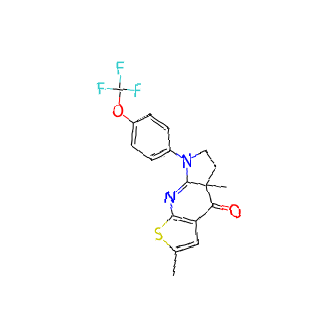 Cc1cc2c(s1)N=C1N(c3ccc(OC(F)(F)F)cc3)CCC1(C)C2=O